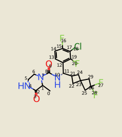 CC1C(=O)NCCN1C(=O)N[C@H](c1ccc(F)c(Cl)c1F)C1CC2(C1)CC(F)(F)C2